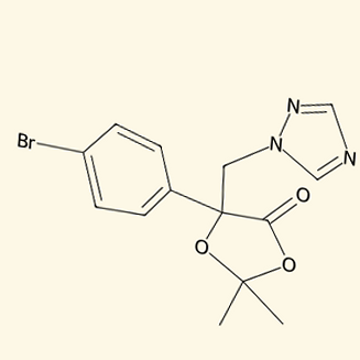 CC1(C)OC(=O)C(Cn2cncn2)(c2ccc(Br)cc2)O1